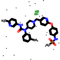 Cc1cccc(N(C(=O)Nc2ccc(C)nc2)C2CCN(Cc3ccc(Oc4ccc(NS(C)(=O)=O)cc4)nc3)CC2)c1.Cl.Cl